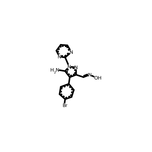 Nc1c(-c2ccc(Br)cc2)c(C=NO)nn1-c1ncccn1